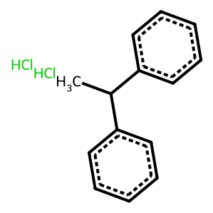 CC(c1ccccc1)c1ccccc1.Cl.Cl